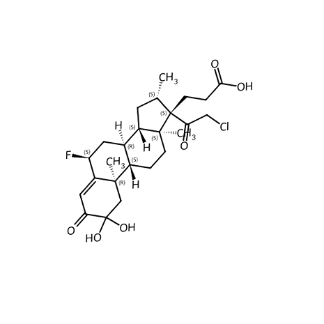 C[C@H]1C[C@H]2[C@@H]3C[C@H](F)C4=CC(=O)C(O)(O)C[C@]4(C)[C@H]3CC[C@]2(C)[C@@]1(CCC(=O)O)C(=O)CCl